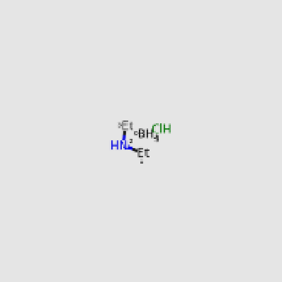 B.CCNCC.Cl